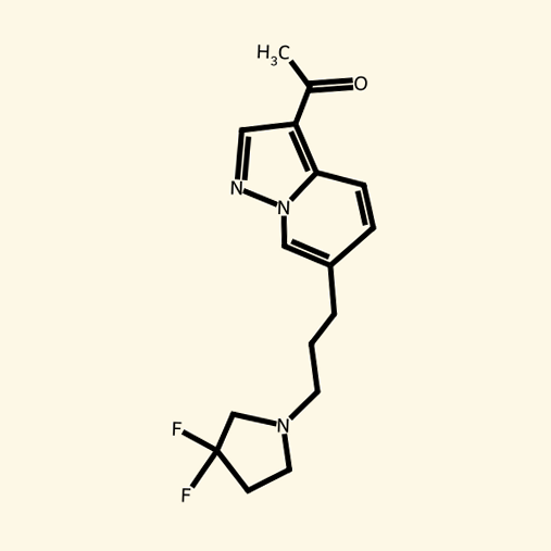 CC(=O)c1cnn2cc(CCCN3CCC(F)(F)C3)ccc12